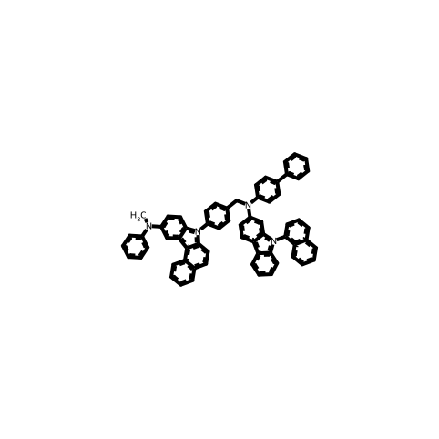 CN(c1ccccc1)c1ccc2c(c1)c1c3ccccc3ccc1n2-c1ccc(CN(c2ccc(-c3ccccc3)cc2)c2ccc3c4ccccc4n(-c4cccc5ccccc45)c3c2)cc1